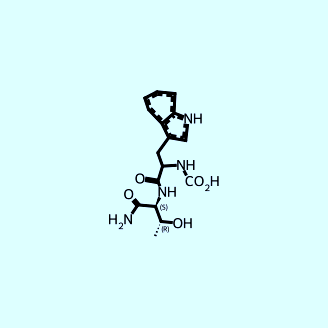 C[C@@H](O)[C@H](NC(=O)C(Cc1c[nH]c2ccccc12)NC(=O)O)C(N)=O